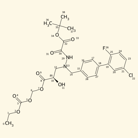 CCOC(=O)OCOC(=O)[C@H](O)CN(Cc1ccc(-c2cc(Cl)ccc2F)cc1)NC(=O)C(=O)OC(C)(C)C